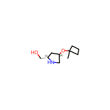 CC1(O[C@H]2CN[C@H](CO)C2)CCC1